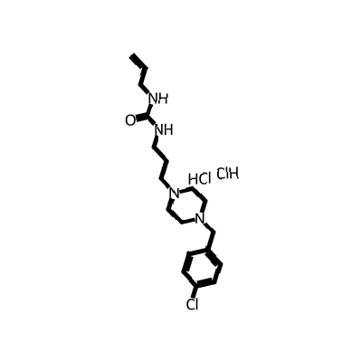 C=CCNC(=O)NCCCN1CCN(Cc2ccc(Cl)cc2)CC1.Cl.Cl